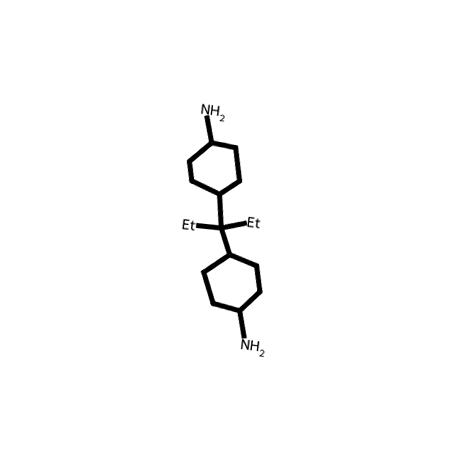 CCC(CC)(C1CCC(N)CC1)C1CCC(N)CC1